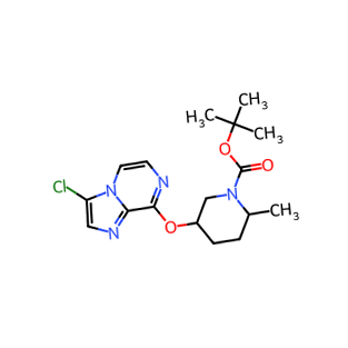 CC1CCC(Oc2nccn3c(Cl)cnc23)CN1C(=O)OC(C)(C)C